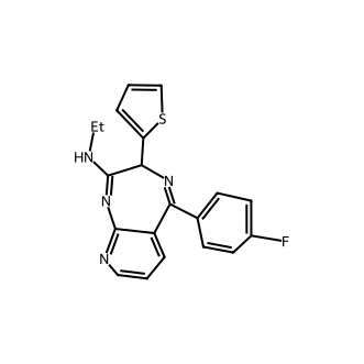 CCNC1=Nc2ncccc2C(c2ccc(F)cc2)=NC1c1cccs1